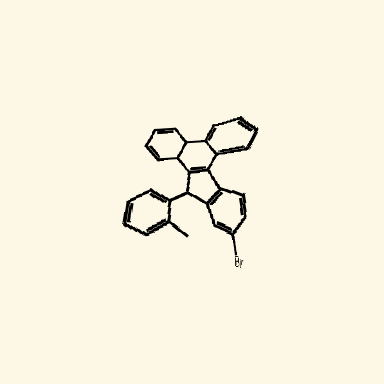 Cc1ccccc1C1C2=C(c3ccc(Br)cc31)c1ccccc1C1C=CC=CC21